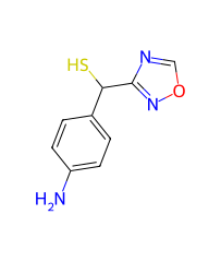 Nc1ccc(C(S)c2ncon2)cc1